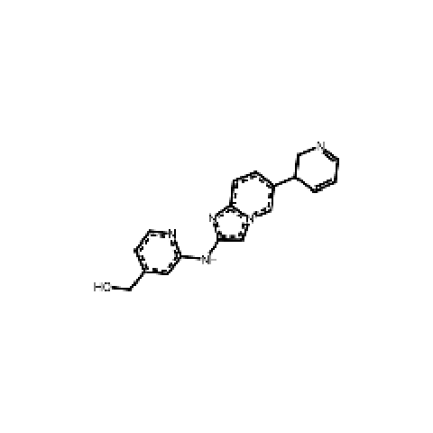 OCc1ccnc(Nc2cn3cc(C4C=CC=NC4)ccc3n2)c1